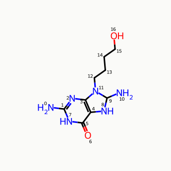 Nc1nc2c(c(=O)[nH]1)NC(N)N2CCCCO